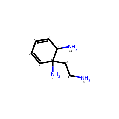 NCCC1(N)C=CC=CC1N